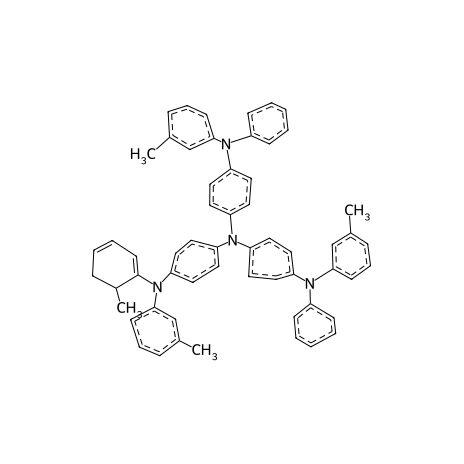 Cc1cccc(N(C2=CC=CCC2C)c2ccc(N(c3ccc(N(c4ccccc4)c4cccc(C)c4)cc3)c3ccc(N(c4ccccc4)c4cccc(C)c4)cc3)cc2)c1